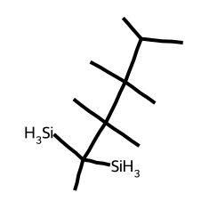 CC(C)C(C)(C)C(C)(C)C(C)([SiH3])[SiH3]